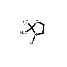 CCN1CCOC1(C)C